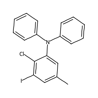 Cc1cc(I)c(Cl)c(N(c2ccccc2)c2ccccc2)c1